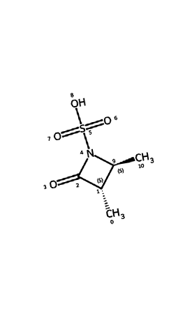 C[C@@H]1C(=O)N(S(=O)(=O)O)[C@H]1C